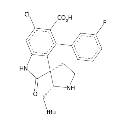 CC(C)(C)C[C@H]1NCC[C@@]12C(=O)Nc1cc(Cl)c(C(=O)O)c(-c3cccc(F)c3)c12